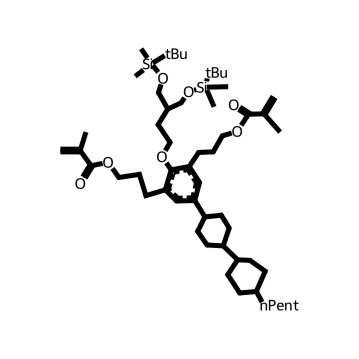 C=C(C)C(=O)OCCCc1cc(C2CCC(C3CCC(CCCCC)CC3)CC2)cc(CCCOC(=O)C(=C)C)c1OCCC(CO[Si](C)(C)C(C)(C)C)CO[Si](C)(C)C(C)(C)C